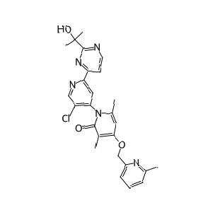 Cc1cccc(COc2cc(C)n(-c3cc(-c4ccnc(C(C)(C)O)n4)ncc3Cl)c(=O)c2C)n1